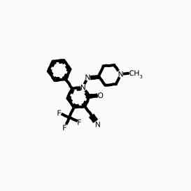 CN1CCC(=Nn2c(-c3ccccc3)cc(C(F)(F)F)c(C#N)c2=O)CC1